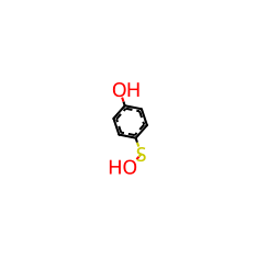 OSc1ccc(O)cc1